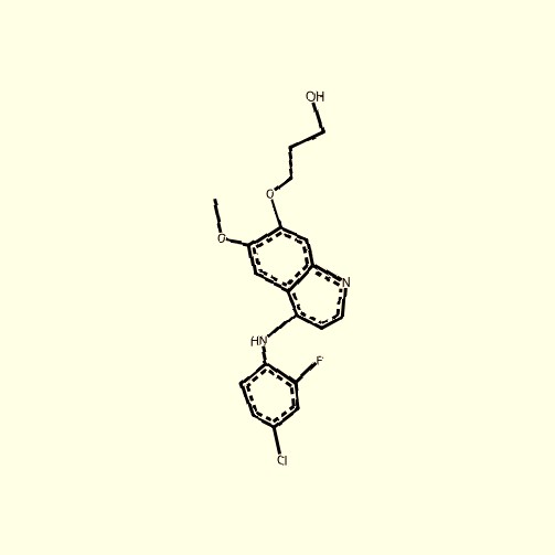 COc1cc2c(Nc3ccc(Cl)cc3F)ccnc2cc1OCCCO